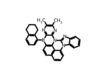 Cc1nc2c(nc1C)-n1c3c(ccc4cccc(c43)n3c4ccccc4nc13)B2c1cccc2c1CCCC2